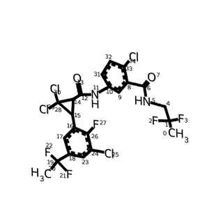 CC(F)(F)CNC(=O)c1cc(NC(=O)C2C(c3cc(C(C)(F)F)cc(Cl)c3F)C2(Cl)Cl)ccc1Cl